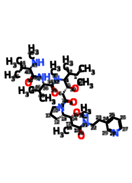 CC[C@H](C)[C@@H]([C@@H](CC(=O)N1CCC[C@H]1[C@H](OC)[C@@H](C)C(=O)NCCc1cccnc1)OC)N(C)C(=O)[C@@H](NC(=O)[C@@H](NC)C(C)C)C(C)C